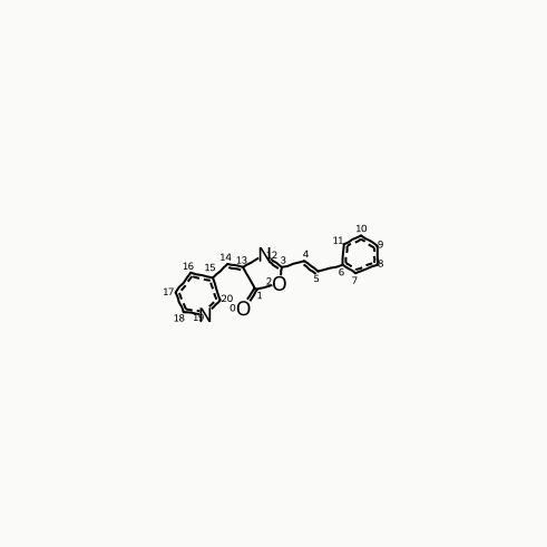 O=C1OC(/C=C/c2ccccc2)=NC/1=C/c1cccnc1